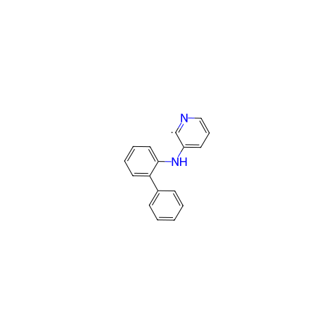 [c]1ncccc1Nc1ccccc1-c1ccccc1